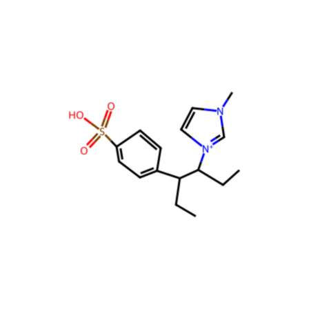 CCC(c1ccc(S(=O)(=O)O)cc1)C(CC)[n+]1ccn(C)c1